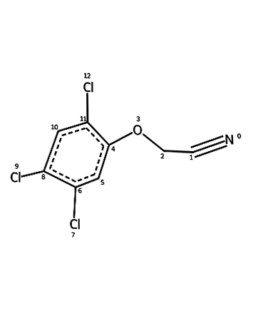 N#CCOc1cc(Cl)c(Cl)cc1Cl